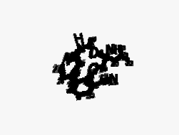 CC(=O)Nc1cc(-c2cccc(C#N)c2OCC(C)(N)CC(C)C)ccn1